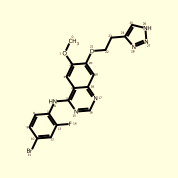 COc1cc2c(Nc3ccc(Br)cc3F)ncnc2cc1OCCc1c[nH]nn1